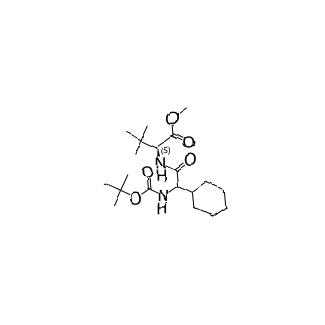 COC(=O)[C@@H](NC(=O)C(NC(=O)OC(C)(C)C)C1CCCCC1)C(C)(C)C